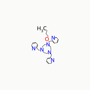 CCCCOC(c1ccccn1)N1CCN(Cc2ccccn2)CCN(Cc2ccccn2)CC1